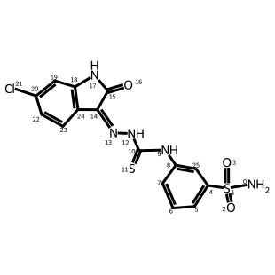 NS(=O)(=O)c1cccc(NC(=S)NN=C2C(=O)Nc3cc(Cl)ccc32)c1